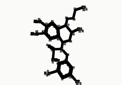 COC(=O)N(Cc1cc(C(F)(F)F)cc(C(F)(F)F)c1)C1CC(C)N(CCCC(F)(F)F)c2cc(OC)c(OC)cc21